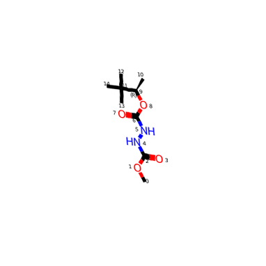 COC(=O)NNC(=O)O[C@H](C)C(C)(C)C